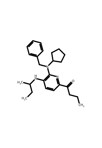 CCCC(=O)c1ccc(NC(C)CC)c(N(Cc2ccccc2)C2CCCC2)n1